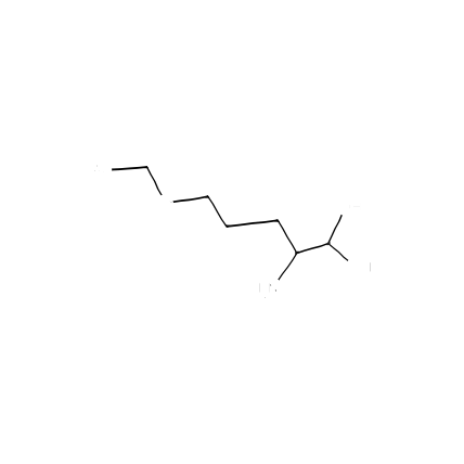 CC(=O)COCCCC(N)C(O)O